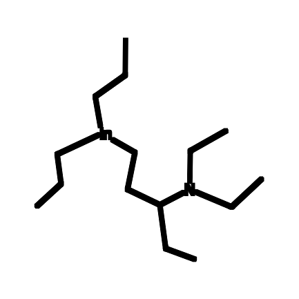 CC[CH2][In]([CH2]CC)[CH2]CC(CC)N(CC)CC